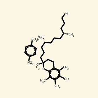 Cc1c(C)c2c(c(C)c1O)CC[C@@](C)(CCC[C@H](C)CCC[C@H](C)CCCC(C)C)O2.O=C(O)c1ccc([N+](=O)[O-])cc1